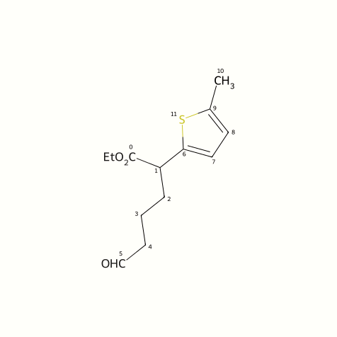 CCOC(=O)C(CCCC=O)c1ccc(C)s1